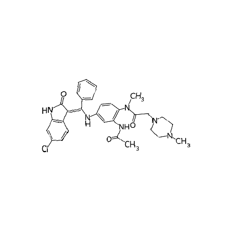 CC(=O)Nc1cc(NC(=C2C(=O)Nc3cc(Cl)ccc32)c2ccccc2)ccc1N(C)C(=O)CN1CCN(C)CC1